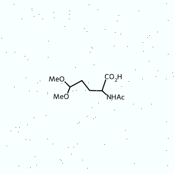 COC(CCC(NC(C)=O)C(=O)O)OC